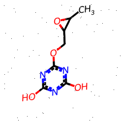 CC1OC1COc1nc(O)nc(O)n1